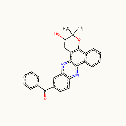 CC1(C)Oc2c(c3nc4cc(C(=O)c5ccccc5)ccc4nc3c3ccccc23)CC1O